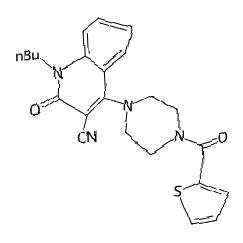 CCCCn1c(=O)c(C#N)c(N2CCN(C(=O)c3cccs3)CC2)c2ccccc21